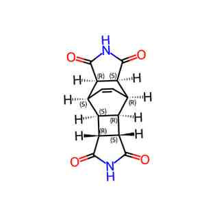 O=C1NC(=O)[C@H]2[C@@H]3C=C[C@H]([C@@H]12)[C@@H]1[C@H]2C(=O)NC(=O)[C@H]2[C@H]31